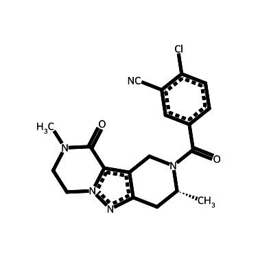 C[C@@H]1Cc2nn3c(c2CN1C(=O)c1ccc(Cl)c(C#N)c1)C(=O)N(C)CC3